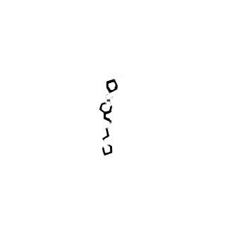 CC(C)(C)c1ccc(S(=O)(=O)N2CCc3cc(OCCCN4CCCC4)sc3C2)cc1